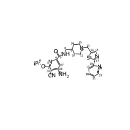 CC(C)Oc1nc(C(=O)NCC2CCN(Cc3cnc(-c4ccccn4)s3)CC2)cc(N)c1C#N